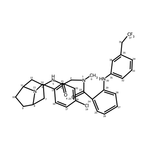 CN(CC(=O)NC1CC2CCC(C1)N2Cc1ccc(Cl)cc1)C(=O)c1ccccc1Nc1cccc(CC(F)(F)F)c1